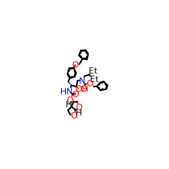 CCC(CC)CN(C[C@@H](O)[C@H](Cc1ccc(OCc2ccccc2)cc1)NC(=O)O[C@H]1CO[C@H]2OCC[C@H]21)C(=O)OCc1ccccc1